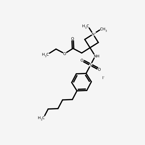 CCCCCc1ccc(S(=O)(=O)NC2(CC(=O)OCC)C[N+](C)(C)C2)cc1.[I-]